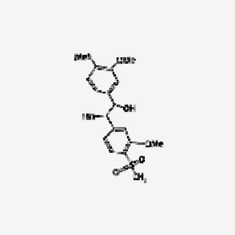 COc1cc(C(O)C(O)c2ccc(S(C)(=O)=O)c(OC)c2)ccc1SC